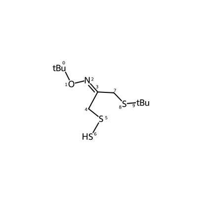 CC(C)(C)O/N=C(\CSS)CSC(C)(C)C